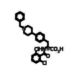 O=C(N[C@@H](Cc1ccc(C2CCN(Cc3ccccc3)CC2)cc1)C(=O)O)c1c(Cl)cccc1Cl